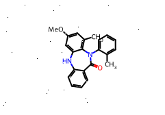 COc1cc(C)c2c(c1)Nc1ccccc1C(=O)N2c1ccccc1C